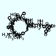 CC(C)C[C@H]1CN(C(=O)CCCN)CC(=O)N[C@@H](Cc2ccccc2)CN(C(=O)CCC2CCCCC2)CC(=O)N[C@@H](CCC(=O)O)CN(C(=O)CCc2ccccc2)CC(=O)N[C@@H](C)CN(CC(=O)N[C@@H](CCCCNC(=S)Nc2ccc(-c3c4ccc(=O)cc-4oc4cc(O)ccc34)c(C(=O)O)c2)C(N)=O)C(=O)CCSCc2ccc(cc2)C(=O)N1